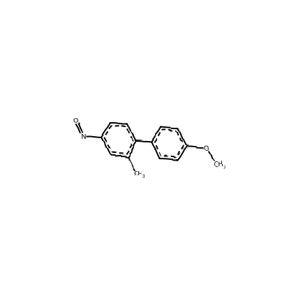 COc1ccc(-c2ccc(N=O)cc2C)cc1